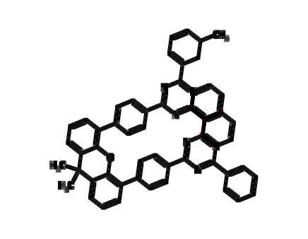 CC1C=CC=C(c2nc(-c3ccccc3)nc(-c3ccc(-c4cccc5c4Oc4c(-c6ccc(-c7nc(-c8ccccc8)nc(-c8ccccc8)n7)cc6)cccc4C5(C)C)cc3)n2)C1